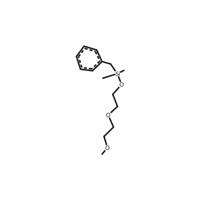 COCCOCCO[Si](C)(C)Cc1ccccc1